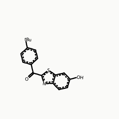 CC(C)(C)c1ccc(C(=O)c2nc3ccc(O)cc3s2)cc1